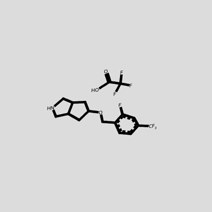 Fc1cc(C(F)(F)F)ccc1COC1CC2CNCC2C1.O=C(O)C(F)(F)F